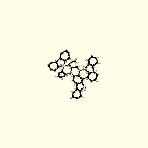 c1ccc2c(c1)-c1ccccc1[Si]21c2ccccc2N2c3cc4c(oc5ccccc54)c4c3B(c3cccc1c32)n1c2ccccc2c2cccc-4c21